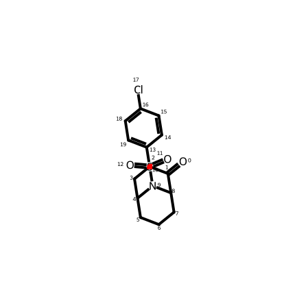 O=C1CCC2CCCC1N2S(=O)(=O)c1ccc(Cl)cc1